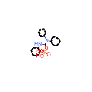 O=P(O)(O)OC(Nc1ccccc1)N(c1ccccc1)c1ccccc1